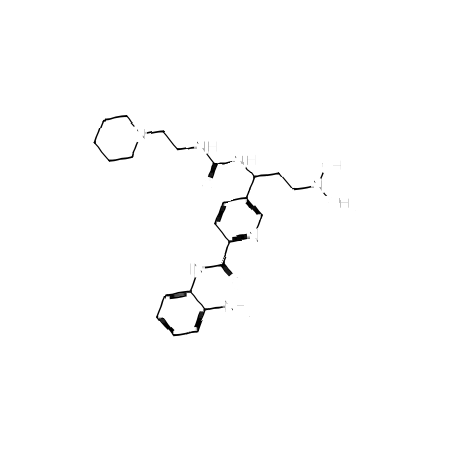 CN(C)CCC(NC(=O)NCCN1CCCCC1)c1ccc(C(=O)Nc2ccccc2N)nc1